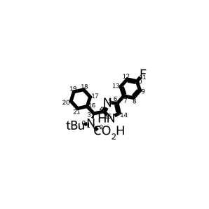 CC(C)(C)N(C(=O)O)[C@H](c1nc(-c2ccc(F)cc2)c[nH]1)C1CCCCC1